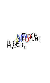 CC(C)(C)OC(=O)N1CCC[C@H]1Cn1cc(C(C)(C)C)sc1=N